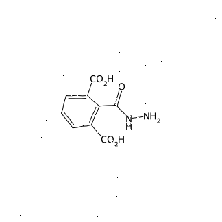 NNC(=O)c1c(C(=O)O)cccc1C(=O)O